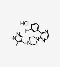 Cc1c(CN2CCN(c3nccnc3-c3cccc(F)c3)CC2)cnn1C.Cl